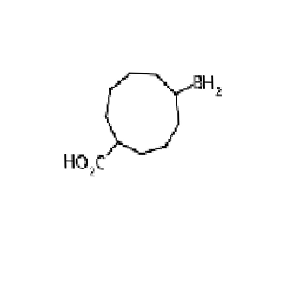 BC1CCCCC(C(=O)O)CCC1